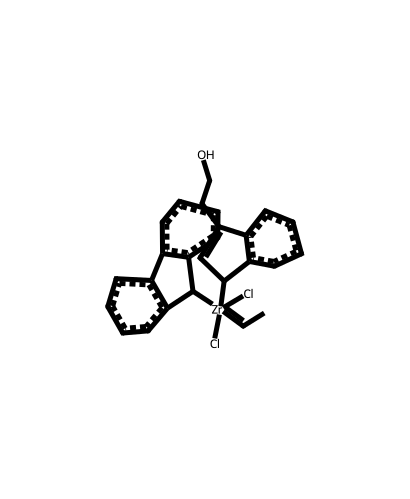 C[CH]=[Zr]([Cl])([Cl])([CH]1C=C(CCO)c2ccccc21)[CH]1c2ccccc2-c2ccccc21